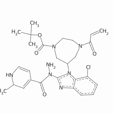 C=CC(=O)N1CCN(C(=O)OC(C)(C)C)CC(n2c(N(N)C(=O)C3=CC(C)NC=C3)nc3cccc(Cl)c32)C1